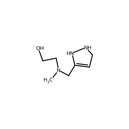 CN(CCO)CC1=CCNN1